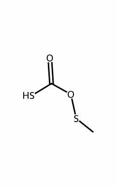 CSOC(=O)S